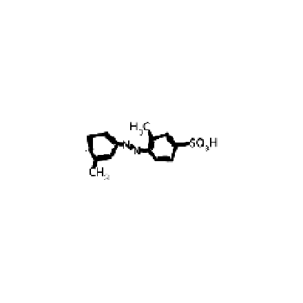 Cc1[c]ccc(N=Nc2ccc(S(=O)(=O)O)cc2C)c1